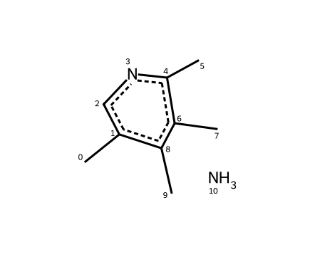 Cc1cnc(C)c(C)c1C.N